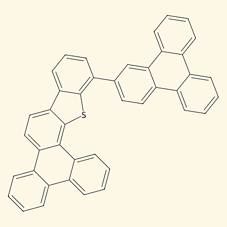 c1cc(-c2ccc3c4ccccc4c4ccccc4c3c2)c2sc3c(ccc4c5ccccc5c5ccccc5c43)c2c1